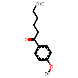 CCOc1ccc(C(=O)CCCCC=O)cc1